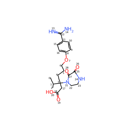 CC(C)C(CCCOc1ccc(C(=N)N)cc1)(CC(=O)O)N1CCNC(=O)C1=O